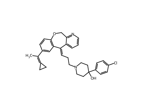 CC(=C1CC1)c1ccc2c(c1)/C(=C/CCN1CCC(O)(c3ccc(Cl)cc3)CC1)c1cccnc1CO2